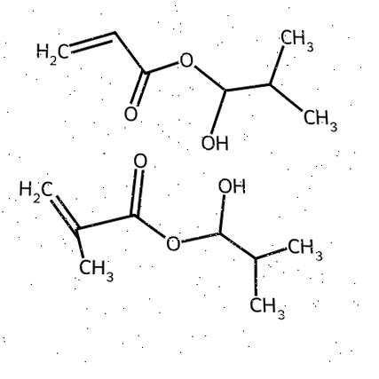 C=C(C)C(=O)OC(O)C(C)C.C=CC(=O)OC(O)C(C)C